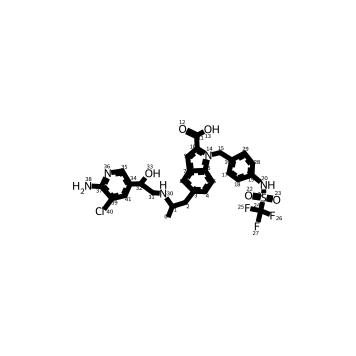 CC(Cc1ccc2c(c1)cc(C(=O)O)n2Cc1ccc(NS(=O)(=O)C(F)(F)F)cc1)NCC(O)c1cnc(N)c(Cl)c1